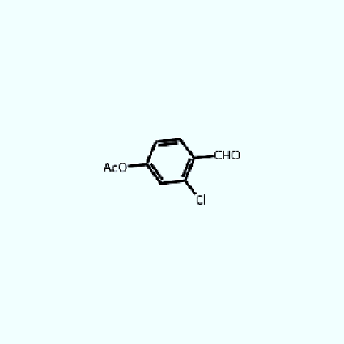 CC(=O)Oc1ccc(C=O)c(Cl)c1